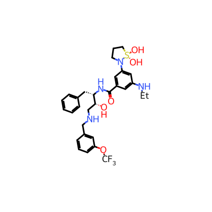 CCNc1cc(C(=O)N[C@@H](Cc2ccccc2)[C@H](O)CNCc2cccc(OC(F)(F)F)c2)cc(N2CCCS2(O)O)c1